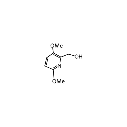 COc1ccc(OC)c(CO)n1